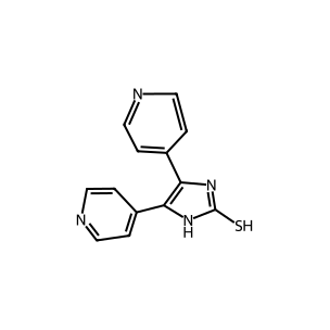 Sc1nc(-c2ccncc2)c(-c2ccncc2)[nH]1